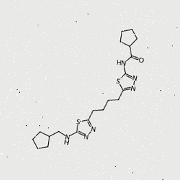 O=C(Nc1nnc(CCCCc2nnc(NCC3CCCC3)s2)s1)C1CCCC1